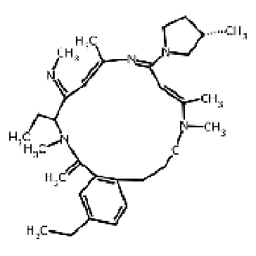 C=C1c2cc(CC)ccc2CCCN(C)/C(C)=C/C(N2CC[C@H](C)C2)=N\C(C)=C\C(=N/C)C(CC)N1C